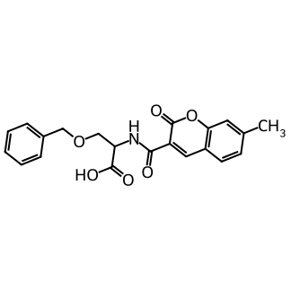 Cc1ccc2cc(C(=O)NC(COCc3ccccc3)C(=O)O)c(=O)oc2c1